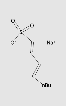 CCCCC=CC=CS(=O)(=O)[O-].[Na+]